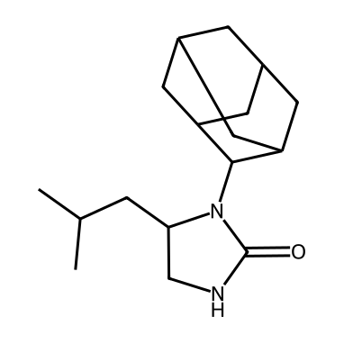 CC(C)CC1CNC(=O)N1C1C2CC3CC(C2)CC1C3